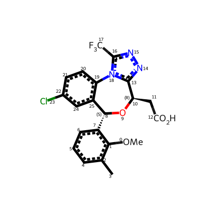 COc1c(C)cccc1[C@H]1O[C@H](CC(=O)O)c2nnc(C(F)(F)F)n2-c2ccc(Cl)cc21